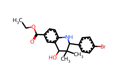 CCOC(=O)c1ccc2c(c1)C(O)C(C)(C)C(c1ccc(Br)cc1)N2